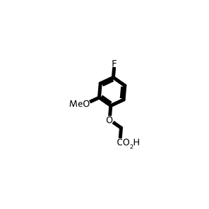 COc1cc(F)ccc1OCC(=O)O